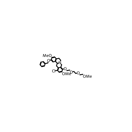 COCCOCCOCCOc1c(OC)cc(Cl)c2c1CN1CCc3cc(OC)c(OCc4ccccc4)cc3C1C2